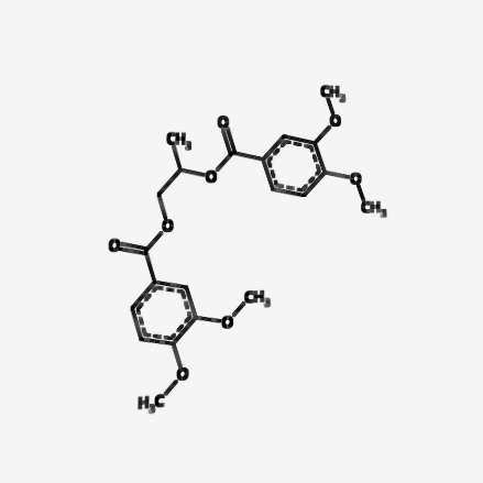 COc1ccc(C(=O)OCC(C)OC(=O)c2ccc(OC)c(OC)c2)cc1OC